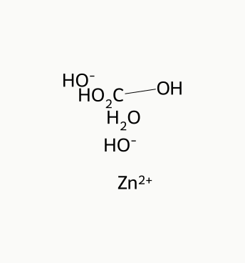 O.O=C(O)O.[OH-].[OH-].[Zn+2]